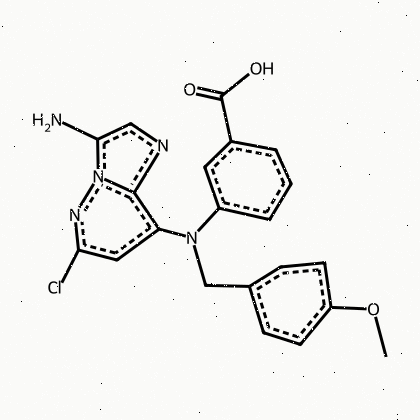 COc1ccc(CN(c2cccc(C(=O)O)c2)c2cc(Cl)nn3c(N)cnc23)cc1